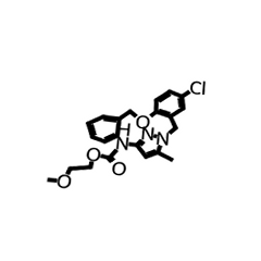 COCCOC(=O)Nc1cc(C)n(Cc2cc(Cl)ccc2OCc2ccccc2)n1